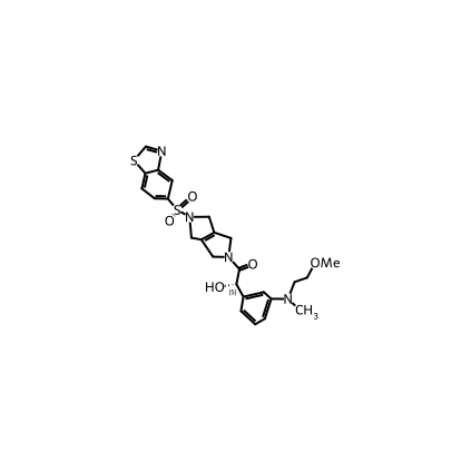 COCCN(C)c1cccc([C@H](O)C(=O)N2CC3=C(C2)CN(S(=O)(=O)c2ccc4scnc4c2)C3)c1